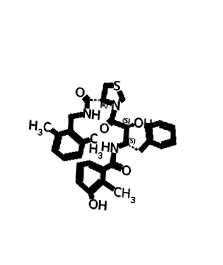 Cc1cccc(C)c1CNC(=O)[C@@H]1CSCN1C(=O)[C@@H](O)[C@H](Cc1ccccc1)NC(=O)c1cccc(O)c1C